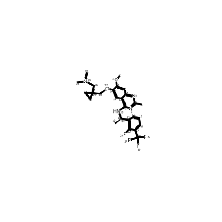 COc1cc2nc(C)nc(N[C@H](C)c3cccc(C(F)(F)F)c3F)c2cc1OCC1(CN(C)C)CC1